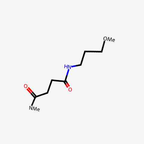 CNC(=O)CCC(=O)NCCCOC